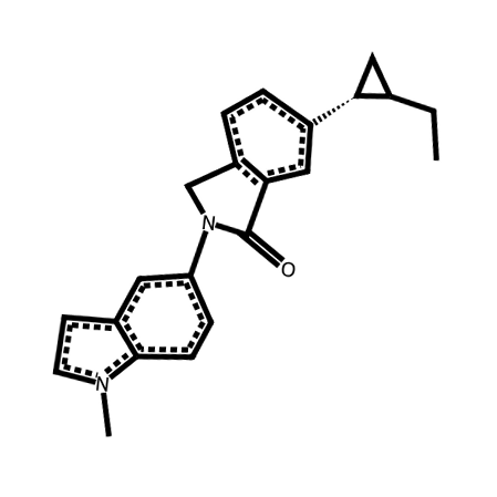 CCC1C[C@H]1c1ccc2c(c1)C(=O)N(c1ccc3c(ccn3C)c1)C2